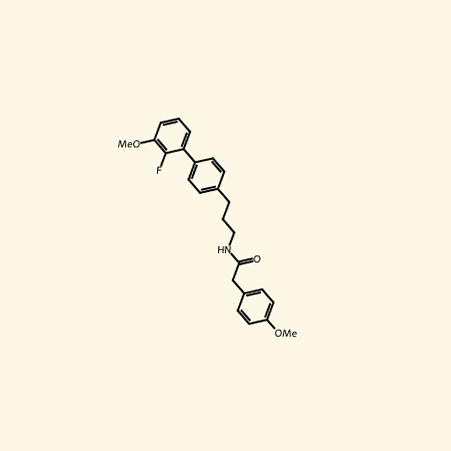 COc1ccc(CC(=O)NCCCc2ccc(-c3cccc(OC)c3F)cc2)cc1